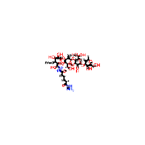 COC1C(O)C(O)C(OC2C(O)C(CO)OC(OC3C(O)C(O)C(OC4C(O)C(CO)OC(C)C4NC(C)=O)OC3C(O)O)C2NC(C)=O)OC1C(O)NNC(=O)CCCCC(=O)NN